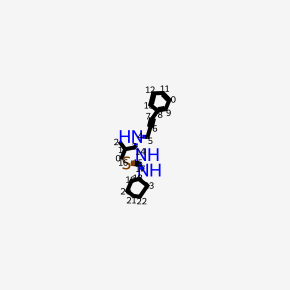 CC(C)C(NCC#Cc1ccccc1)NC(=S)NC1CCCCC1